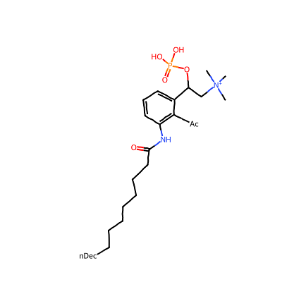 CCCCCCCCCCCCCCCCCC(=O)Nc1cccc(C(C[N+](C)(C)C)OP(=O)(O)O)c1C(C)=O